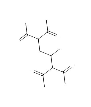 C[C](CC(C(C)=O)C(C)=O)C(C(C)=O)C(C)=O